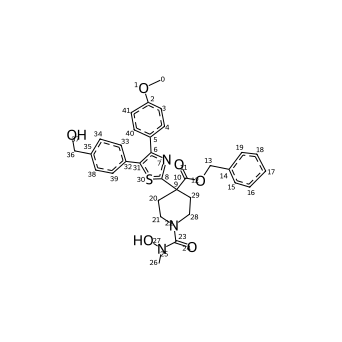 COc1ccc(-c2nc(C3(C(=O)OCc4ccccc4)CCN(C(=O)N(C)O)CC3)sc2-c2ccc(CO)cc2)cc1